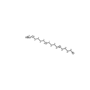 CCCCOCCCCOCCCCOCCCC[O]